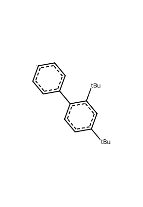 CC(C)(C)c1ccc(-c2cc[c]cc2)c(C(C)(C)C)c1